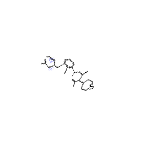 C=C(C)/C=C(\C=C/C)Cc1cccc(C(C)CC(=C)C(C(=C)C)C2CCSCC2)c1C